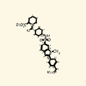 CCOC(=O)C1CCCCN1C(=O)[C@H]1CC[C@H](NS(=O)(=O)c2ccc3cc(-c4ccc(COC)cc4)n(C)c3c2)CC1